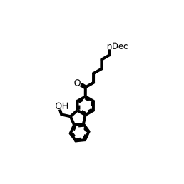 CCCCCCCCCCCCCCCC(=O)c1ccc2c(c1)C(CO)c1ccccc1-2